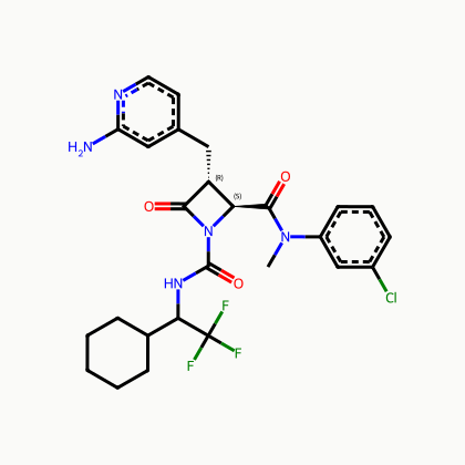 CN(C(=O)[C@@H]1[C@@H](Cc2ccnc(N)c2)C(=O)N1C(=O)NC(C1CCCCC1)C(F)(F)F)c1cccc(Cl)c1